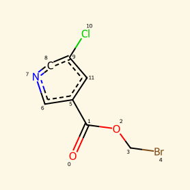 O=C(OCBr)c1cncc(Cl)c1